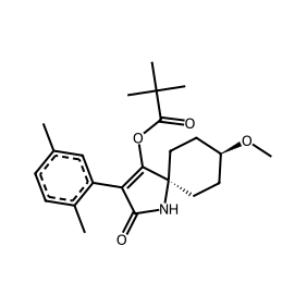 CO[C@H]1CC[C@]2(CC1)NC(=O)C(c1cc(C)ccc1C)=C2OC(=O)C(C)(C)C